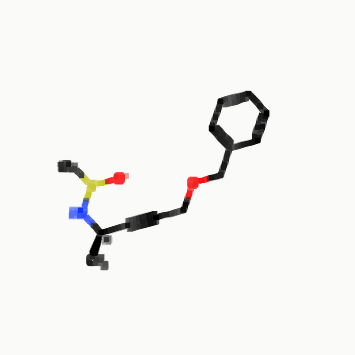 C[C@H](C#CCOCc1ccccc1)N[S+]([O-])C(C)(C)C